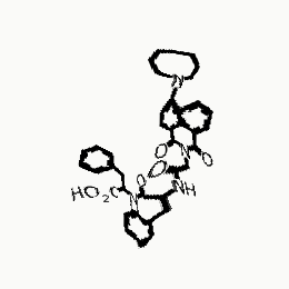 O=C(CN1C(=O)c2cccc3c(N4CCCCCCC4)ccc(c23)C1=O)NC(Cc1ccccc1)C(=O)NC(Cc1ccccc1)C(=O)O